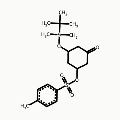 Cc1ccc(S(=O)(=O)OC2CC(=O)CC(O[Si](C)(C)C(C)(C)C)C2)cc1